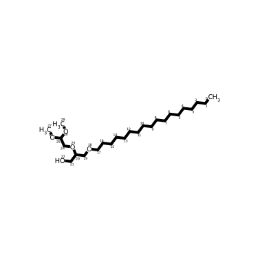 CCCCCCCCCCCCCCCCCCOCC(CO)OCC(OC)OC